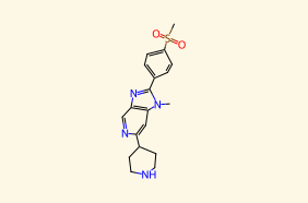 Cn1c(-c2ccc(S(C)(=O)=O)cc2)nc2cnc(C3CCNCC3)cc21